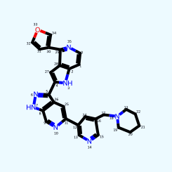 c1cc2[nH]c(-c3n[nH]c4cnc(-c5cncc(CN6CCCCC6)c5)cc34)cc2c(-c2ccoc2)n1